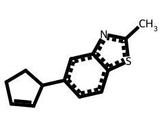 Cc1nc2cc(C3C=CCC3)ccc2s1